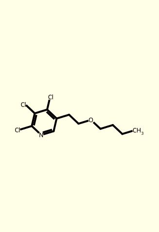 CCCCOCCc1cnc(Cl)c(Cl)c1Cl